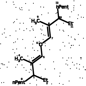 CCCCCC(CC)/C(C)=C/O/C=C(\C)C(CC)CCCCC